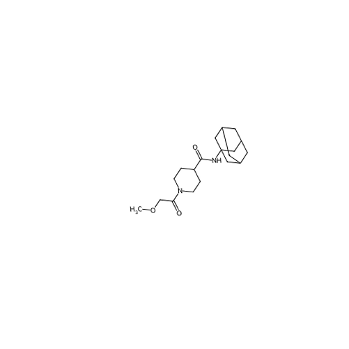 COCC(=O)N1CCC(C(=O)NC23CC4CC(CC(C4)C2)C3)CC1